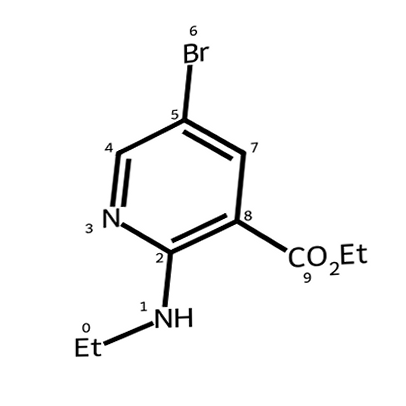 CCNc1ncc(Br)cc1C(=O)OCC